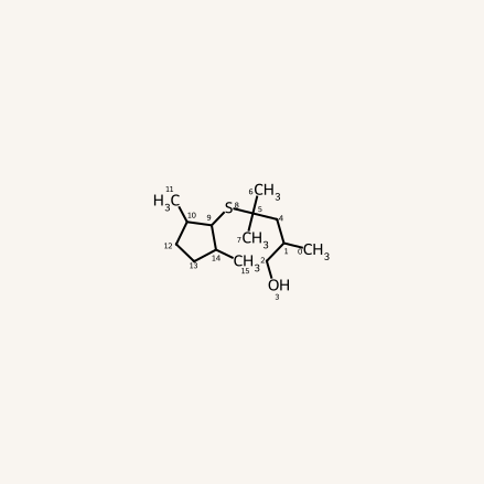 CC(CO)CC(C)(C)SC1C(C)CCC1C